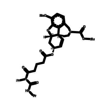 COc1ccc2c3c1O[C@H]1C[C@@H](OC(=O)CCCC(=O)N(C(=O)NC(C)C)C(C)C)C=C[C@@]31CCN(C(=O)OC(C)(C)C)C2